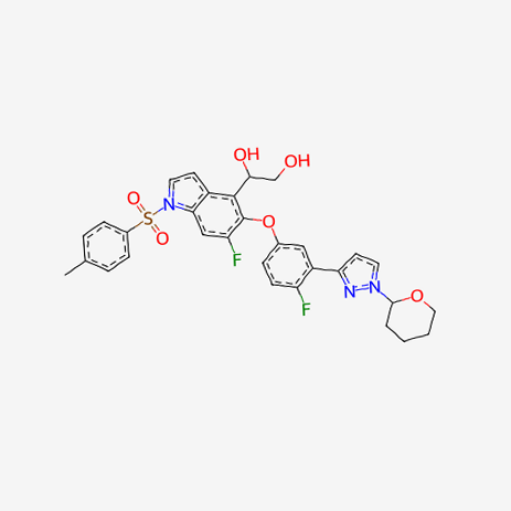 Cc1ccc(S(=O)(=O)n2ccc3c(C(O)CO)c(Oc4ccc(F)c(-c5ccn(C6CCCCO6)n5)c4)c(F)cc32)cc1